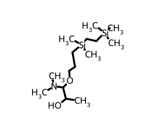 CC(O)C(OCCC[Si](C)(C)CC[Si](C)(C)C)N(C)C